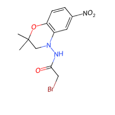 CC1(C)CN(NC(=O)CBr)c2cc([N+](=O)[O-])ccc2O1